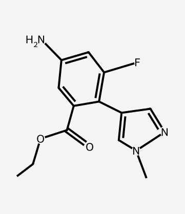 CCOC(=O)c1cc(N)cc(F)c1-c1cnn(C)c1